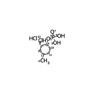 Cc1ccc(OP(=O)(O)O)cc1.Cl.Cl